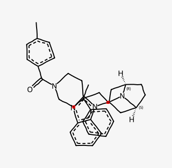 Cc1ccc(C(=O)N2CCC(CCN3[C@@H]4CC[C@H]3CC(n3c(C)nc5ccccc53)C4)(c3ccccc3)CC2)cc1